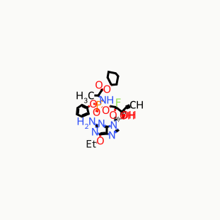 C#C[C@H](O)C(F)(COP(=O)(NC(C)C(=O)OC1CCCCC1)Oc1ccccc1)O[C@H](CO)n1cnc2c(OCC)nc(N)nc21